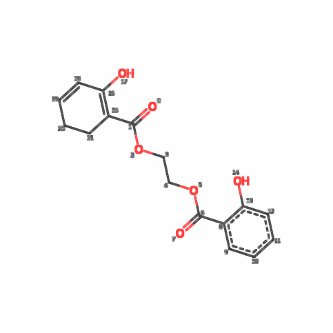 O=C(OCCOC(=O)c1ccccc1O)C1=C(O)C=CCC1